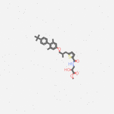 COC(=O)C(O)CNC(=O)c1ccc(CC(C)COc2cc(C)c(-c3ccc(C(C)(C)C)cc3)c(C)c2)s1